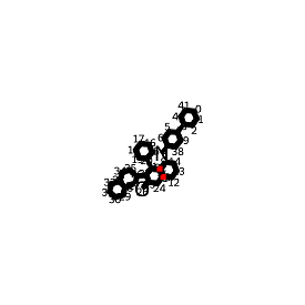 c1ccc(-c2ccc(N(c3ccccc3)c3ccccc3-c3cccc4oc5c6ccccc6ccc5c34)cc2)cc1